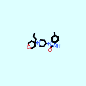 CCCC1(N2CCC(n3c(=O)[nH]c4ccc(C)cc43)CC2)CCOCC1